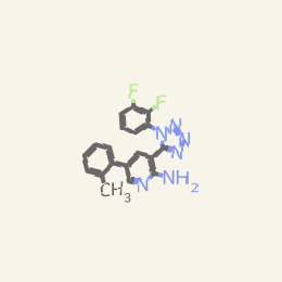 Cc1ccccc1-c1cnc(N)c(-c2nnnn2-c2cccc(F)c2F)c1